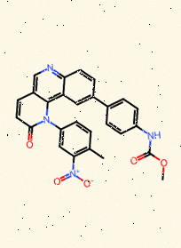 COC(=O)Nc1ccc(-c2ccc3ncc4ccc(=O)n(-c5ccc(C)c([N+](=O)[O-])c5)c4c3c2)cc1